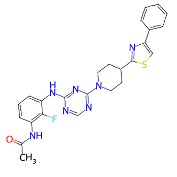 CC(=O)Nc1cccc(Nc2ncnc(N3CCC(c4nc(-c5ccccc5)cs4)CC3)n2)c1F